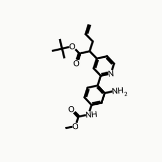 C=CCC(C(=O)OC(C)(C)C)c1ccnc(-c2ccc(NC(=O)OC)cc2N)c1